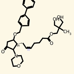 CC(CO)(CO)COC(=O)CCC/C=C\C[C@H]1C(OCc2ccc(-c3ccccc3)cc2)CC(=O)C1N1CCOCC1